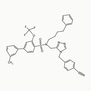 Cc1cccc(-c2ccc(S(=O)(=O)N(CCCCc3ccccc3)Cc3nncn3Cc3ccc(C#N)cc3)c(OC(F)(F)F)c2)c1